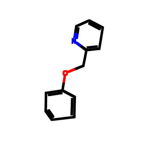 c1ccc(OCc2ccccn2)cc1